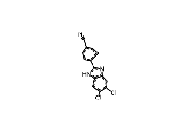 N#Cc1ccc(-c2nc3cc(Cl)c(Cl)cc3[nH]2)cc1